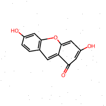 O=c1cc(O)cc2oc3cc(O)ccc3cc1-2